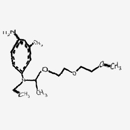 CCN(c1ccc(N)c(C)c1)C(C)OCCOCCOC